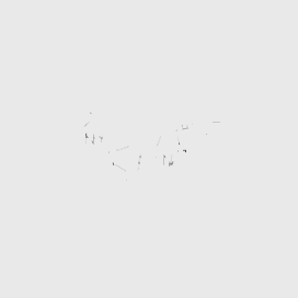 Cc1ccc(-c2nccs2)cc1-c1cc(C(=O)O)nn1C